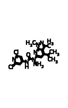 Cc1nn(C)c2nc(N(N)C(=O)Nc3cc(Cl)nc(Cl)c3)cc(C(C)C)c12